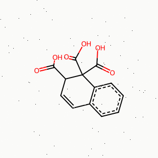 O=C(O)C1C=Cc2ccccc2C1(C(=O)O)C(=O)O